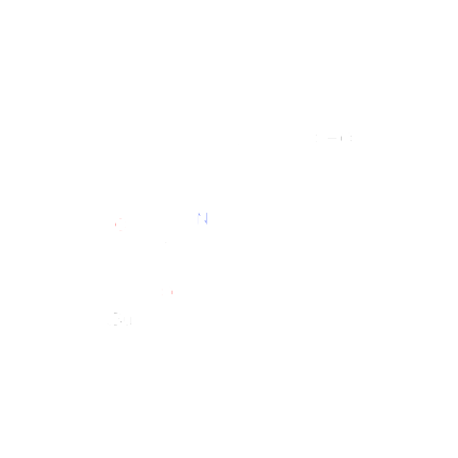 CC1CN(C(=O)OC(C)(C)C)CCC1C=O